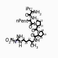 CCCCCC(NC(=O)C(N)C(C)C)C(=O)N1CCCC1C(=O)N1CCCC1C(=O)NC(C)CCCN/C(N)=N/[N+](=O)[O-]